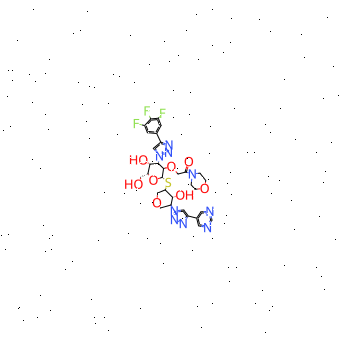 O=C(CO[C@@H]1[C@@H](n2cc(-c3cc(F)c(F)c(F)c3)nn2)[C@@H](O)[C@@H](CO)O[C@H]1S[C@@H]1COC[C@H](n2cc(-c3cncnc3)nn2)[C@H]1O)N1CCOCC1